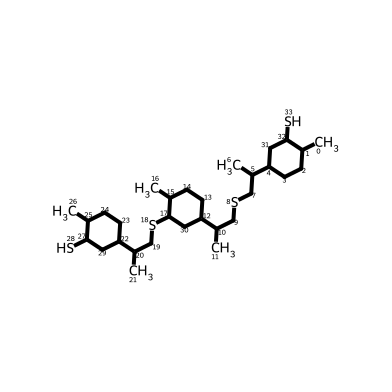 CC1CCC(C(C)CSCC(C)C2CCC(C)C(SCC(C)C3CCC(C)C(S)C3)C2)CC1S